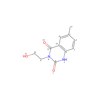 Cc1ccc2[nH]c(=O)n(CCO)c(=O)c2c1